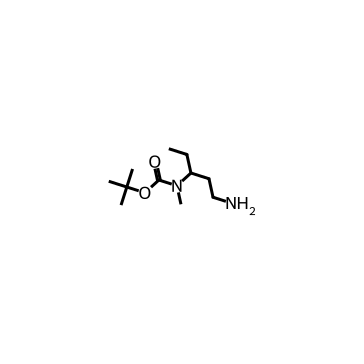 CCC(CCN)N(C)C(=O)OC(C)(C)C